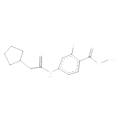 COC(=O)c1ccc(NC(=O)CC2CCCC2)cc1F